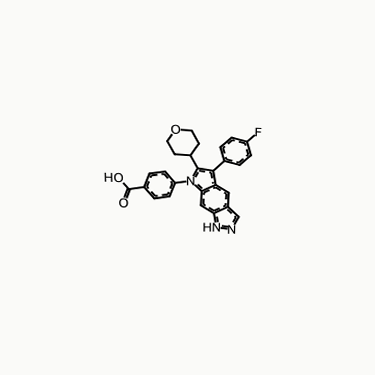 O=C(O)c1ccc(-n2c(C3CCOCC3)c(-c3ccc(F)cc3)c3cc4cn[nH]c4cc32)cc1